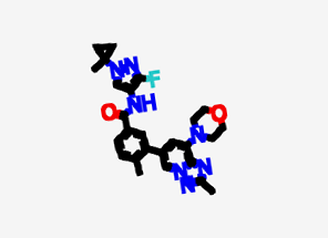 Cc1nc2c(N3CCOCC3)cc(-c3cc(C(=O)Nc4cn(C5(C)CC5)nc4F)ccc3C)cn2n1